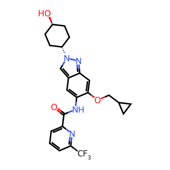 O=C(Nc1cc2cn([C@H]3CC[C@H](O)CC3)nc2cc1OCC1CC1)c1cccc(C(F)(F)F)n1